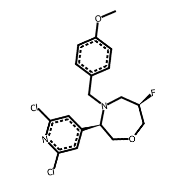 COc1ccc(CN2C[C@@H](F)COC[C@H]2c2cc(Cl)nc(Cl)c2)cc1